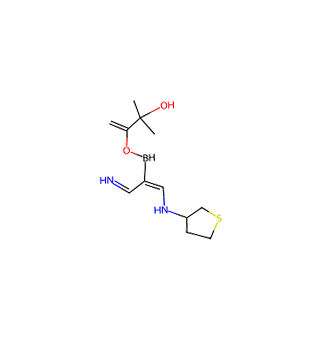 C=C(OB/C(C=N)=C/NC1CCSC1)C(C)(C)O